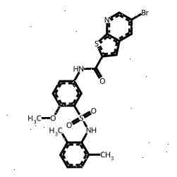 COc1ccc(NC(=O)c2cc3cc(Br)cnc3s2)cc1S(=O)(=O)Nc1c(C)cccc1C